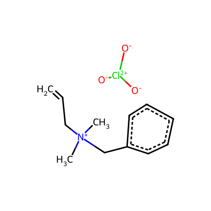 C=CC[N+](C)(C)Cc1ccccc1.[O-][Cl+2]([O-])[O-]